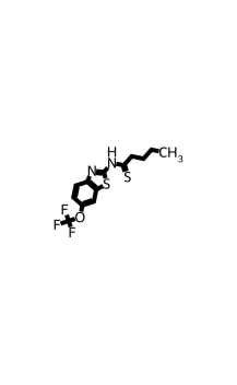 CCCCC(=S)Nc1nc2ccc(OC(F)(F)F)cc2s1